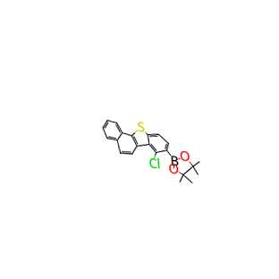 CC1(C)OB(c2ccc3sc4c5ccccc5ccc4c3c2Cl)OC1(C)C